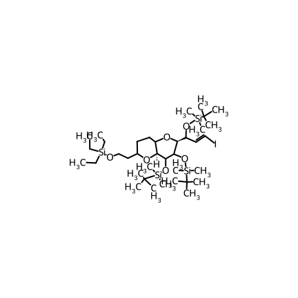 CC[Si](CC)(CC)OCCC1CCC2O[C@@H](C(/C=C/I)O[Si](C)(C)C(C)(C)C)C(O[Si](C)(C)C(C)(C)C)C(O[Si](C)(C)C(C)(C)C)[C@H]2O1